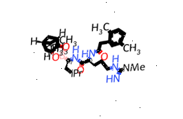 CNC(=N)NCCC[C@H](NC(=O)Cc1cc(C)ccc1C)C(=O)N[C@@H](CC(C)C)B1O[C@@H]2C[C@@H]3C[C@@H](C3(C)C)[C@]2(C)O1